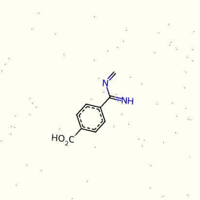 C=NC(=N)c1ccc(C(=O)O)cc1